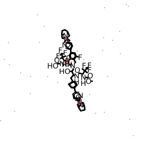 COC(=O)NC(C(=O)NC(Cc1ccc(-c2ccc(N3CC4CCC(C3)N4C3COC3)nc2)cc1)C(O)CN(Cc1c(F)cc(-c2ccc(N3CC4CCC(C3)N4C3COC3)nc2)cc1F)NC(=O)C(NC(=O)O)C(C)(C)C(F)(F)F)C(C)(C)C(F)(F)F